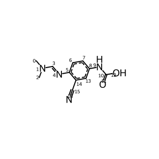 CN(C)/C=N/c1ccc(NC(=O)O)cc1C#N